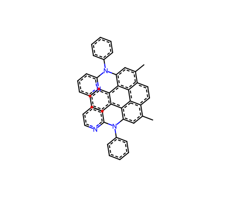 Cc1cc(N(c2ccccc2)c2ccccn2)c2c3ccccc3c3c(N(c4ccccc4)c4ccccn4)cc(C)c4ccc1c2c43